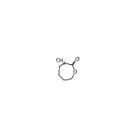 O=C1CCCCCO1.[CH3]